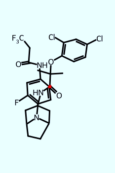 CC(C)(Oc1ccc(Cl)cc1Cl)C(=O)NC1CC2CCC(C1)N2c1ccc(NC(=O)CC(F)(F)F)cc1F